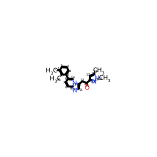 Cc1cccc(-c2ccc3ncc(CC(=O)c4cc(C)n(C)n4)n3c2)c1C